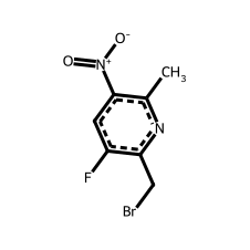 Cc1nc(CBr)c(F)cc1[N+](=O)[O-]